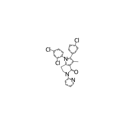 Cc1c2c(n(-c3ccc(Cl)cc3Cl)c1-c1ccc(Cl)cc1)CCN(c1ccccn1)C2=O